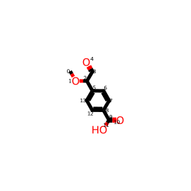 COC(C=O)c1ccc(C(=O)O)cc1